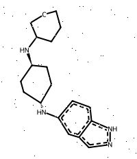 c1cc2[nH]ncc2cc1N[C@H]1CC[C@H](NC2CCCCC2)CC1